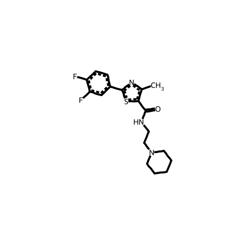 Cc1nc(-c2ccc(F)c(F)c2)sc1C(=O)NCCN1CCCCC1